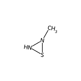 Cn1[nH]s1